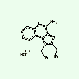 CC(C)Cc1nc2c(N)nc3ccccc3c2n1CC(C)C.Cl.O